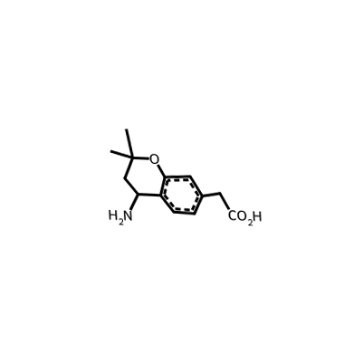 CC1(C)CC(N)c2ccc(CC(=O)O)cc2O1